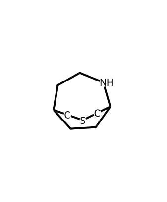 C1CC2CCC(CSC2)N1